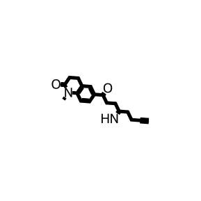 C#CCCC(=N)CCC(=O)c1ccc2c(c1)CCC(=O)N2C